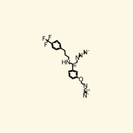 [N-]=[N+]=NCOc1cccc([C@H](CN=[N+]=[N-])NCCCc2ccc(C(F)(F)F)cc2)c1